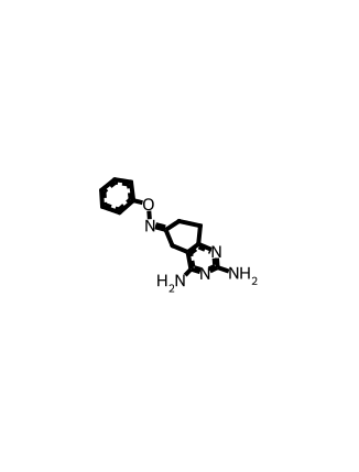 Nc1nc(N)c2c(n1)CCC(=NOc1ccccc1)C2